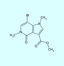 COC(=O)c1cn(C)c2c(Br)cn(C)c(=O)c12